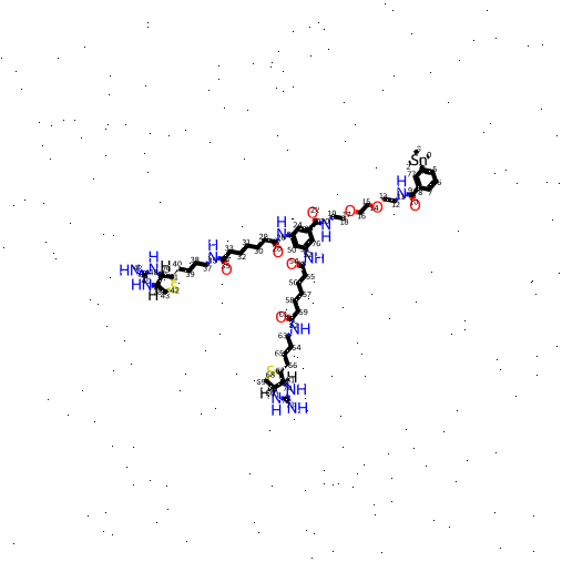 [CH3][Sn]([CH3])([CH3])[c]1cccc(C(=O)NCCOCCOCCNC(=O)c2cc(NC(=O)CCCCCC(=O)NCCCC[C@@H]3SC[C@@H]4NC(=N)N[C@@H]43)cc(NC(=O)CCCCCC(=O)NCCCC[C@@H]3SC[C@@H]4NC(=N)N[C@@H]43)c2)c1